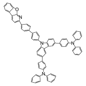 c1ccc(N(c2ccccc2)c2ccc(-c3ccc4c(c3)c3cc(-c5ccc(N(c6ccccc6)c6ccccc6)cc5)ccc3n4-c3ccc(-c4ccc(-c5ccc6c(n5)oc5ccccc56)cc4)cc3)cc2)cc1